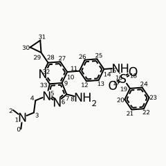 CN(C)CCn1nc(N)c2c(-c3ccc(NS(=O)(=O)c4ccccc4)cc3)cc(C3CC3)nc21